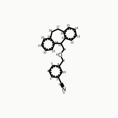 N#Cc1cccc(COCC2c3ccccc3CCc3ccccc32)c1